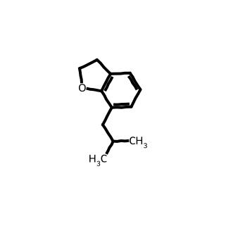 CC(C)Cc1cccc2c1OCC2